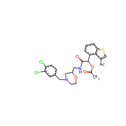 CC(=O)c1csc2cccc(C(OC(=O)C(F)(F)F)C(=O)NCC3CN(Cc4ccc(Cl)c(Cl)c4)CCO3)c12